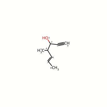 C#CC(O)C(C)C=CC